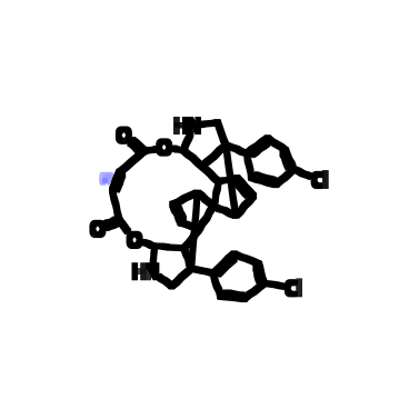 O=C1/C=C\C(=O)OC2NCC3(c4ccc(Cl)cc4)C2C2C=CC3C23C2C=CC3C3(c4ccc(Cl)cc4)CNC(O1)C23